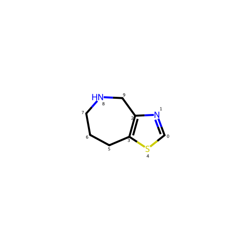 c1nc2c(s1)CCCNC2